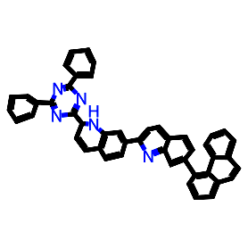 C1=CC(c2nc(-c3ccccc3)nc(-c3ccccc3)n2)Nc2cc(-c3ccc4ccc(-c5cccc6ccc7ccccc7c56)cc4n3)ccc21